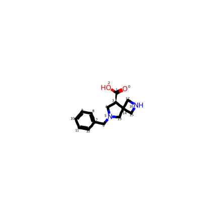 O=C(O)[C@@H]1CN(Cc2ccccc2)CC12CNC2